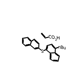 C=CC(=O)O.CCCCc1ccc(Sc2ccc3ccccc3c2)c2ccccc12